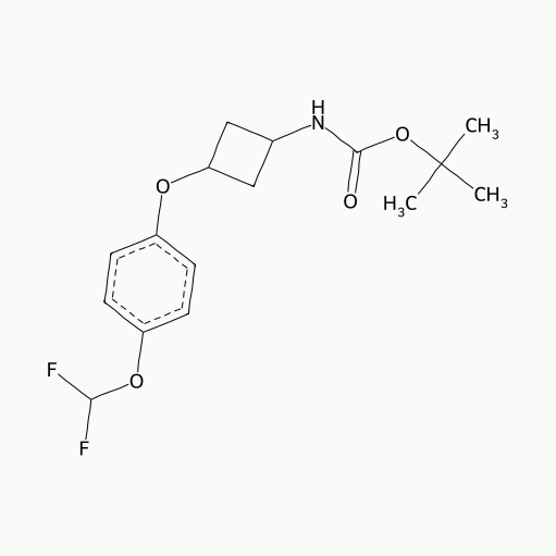 CC(C)(C)OC(=O)NC1CC(Oc2ccc(OC(F)F)cc2)C1